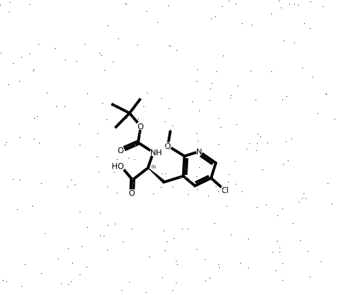 COc1ncc(Cl)cc1C[C@H](NC(=O)OC(C)(C)C)C(=O)O